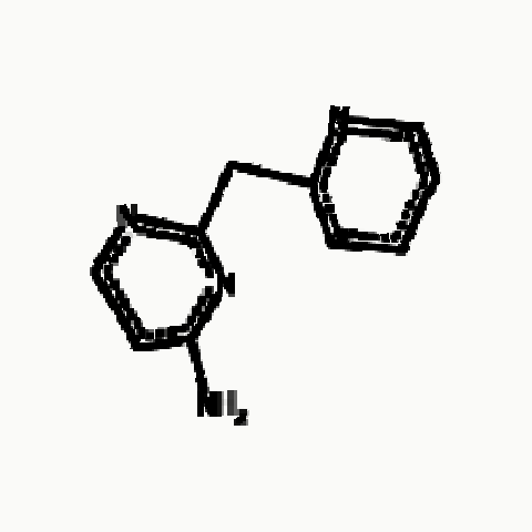 Nc1ccnc(Cc2ccccn2)n1